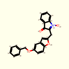 O=C1C(Cc2cc3cc(OCc4ccccc4)ccc3o2)=[N+]([O-])c2ccccc21